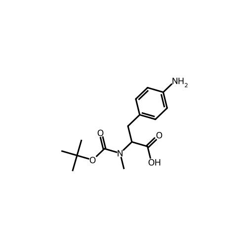 CN(C(=O)OC(C)(C)C)C(Cc1ccc(N)cc1)C(=O)O